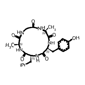 CC(C)C[C@@H]1NC(=O)[C@H](Cc2ccc(O)cc2)NC(=O)[C@H](C)NC(=O)CNC(=O)[C@H](C)NC1=O